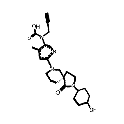 C#CCN(C(=O)O)c1cnc(N2CCC[C@@]3(CCN(C4CCC(O)CC4)C3=O)C2)cc1C